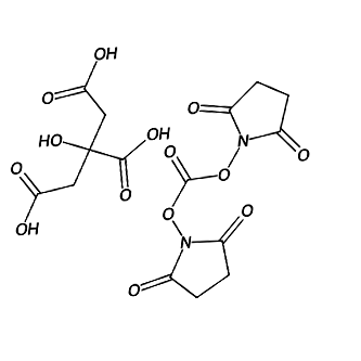 O=C(O)CC(O)(CC(=O)O)C(=O)O.O=C(ON1C(=O)CCC1=O)ON1C(=O)CCC1=O